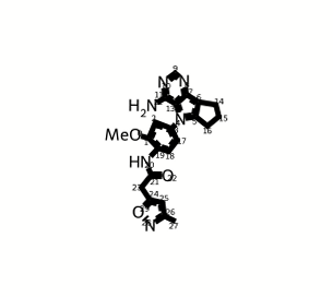 COc1cc(-n2c3c(c4ncnc(N)c42)CCC3)ccc1NC(=O)Cc1cc(C)no1